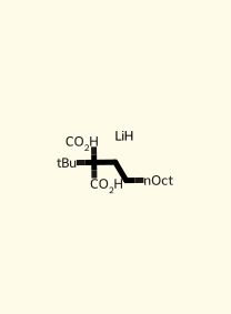 CCCCCCCCCCC(C(=O)O)(C(=O)O)C(C)(C)C.[LiH]